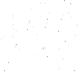 CC1(C)CCCc2c(F)cc(F)cc21